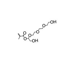 C=C(C)C(=O)OC(CO)OCCOCCOCCO